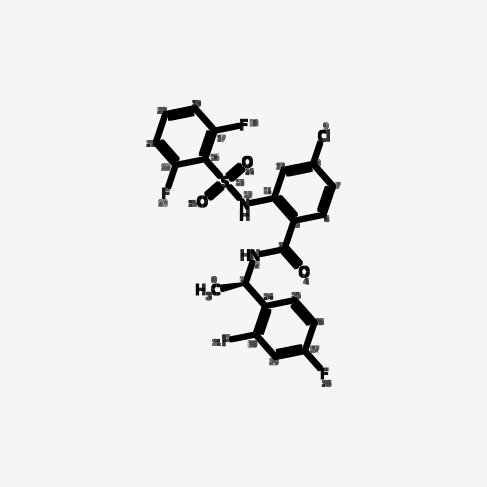 C[C@@H](NC(=O)c1ccc(Cl)cc1NS(=O)(=O)c1c(F)cccc1F)c1ccc(F)cc1F